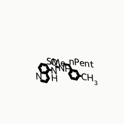 CCCCCC(CNC(=O)Nc1c(SC)ccc2ncccc12)c1cccc(C)c1